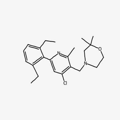 CCc1cccc(CC)c1-c1cc(Cl)c(CN2CCOC(C)(C)C2)c(C)n1